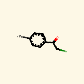 CCCc1ccc(C(=O)CBr)cc1